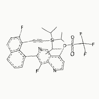 CC(C)[Si](C#Cc1c(F)ccc2cccc(-c3ncc4c(OS(=O)(=O)C(F)(F)F)ccnc4c3F)c12)(C(C)C)C(C)C